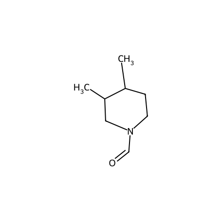 CC1CCN(C=O)CC1C